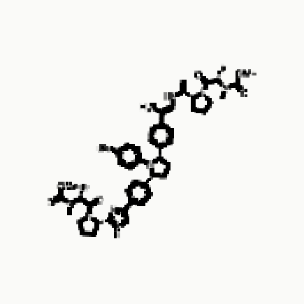 C=C(N/C=C(\N)c1ccc([C@H]2CC[C@H](c3ccc(-c4c[nH]c([C@@H]5CCCN5C(=O)[C@H](C(C)C)N(C)C(=O)OC)n4)cc3)N2c2ccc(C(C)(C)C)cc2)cc1)[C@@H]1CCCN1C(=O)[C@H](C(C)C)N(C)C(=O)OC